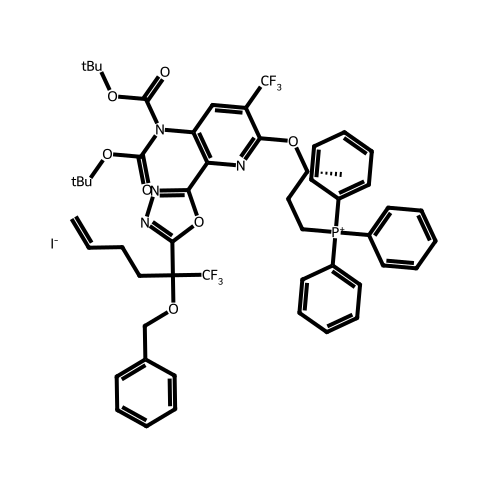 C=CCCC(OCc1ccccc1)(c1nnc(-c2nc(O[C@H](C)CC[P+](c3ccccc3)(c3ccccc3)c3ccccc3)c(C(F)(F)F)cc2N(C(=O)OC(C)(C)C)C(=O)OC(C)(C)C)o1)C(F)(F)F.[I-]